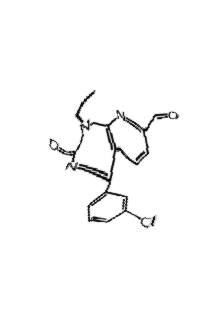 CCn1c(=O)nc(-c2cccc(Cl)c2)c2ccc(C=O)nc21